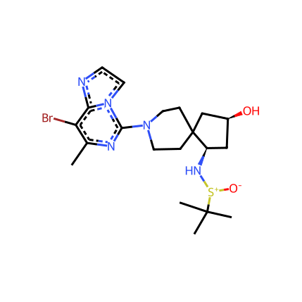 Cc1nc(N2CCC3(CC2)C[C@@H](O)C[C@H]3N[S+]([O-])C(C)(C)C)n2ccnc2c1Br